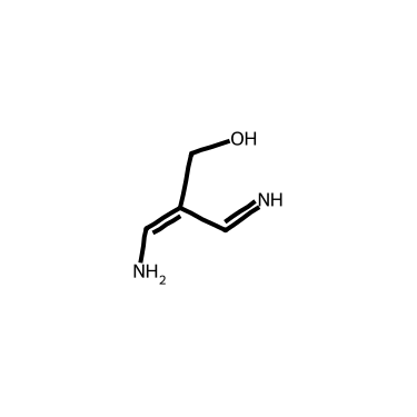 N=C/C(=C\N)CO